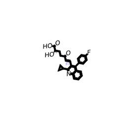 O=C(/C=C/c1c(C2CC2)nc2ccccc2c1-c1ccc(F)cc1)CC[C@@H](O)C(=O)O